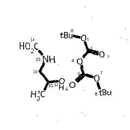 CC(C)(C)OC(=O)OC(=O)OC(C)(C)C.CC(O)CNC(=O)O